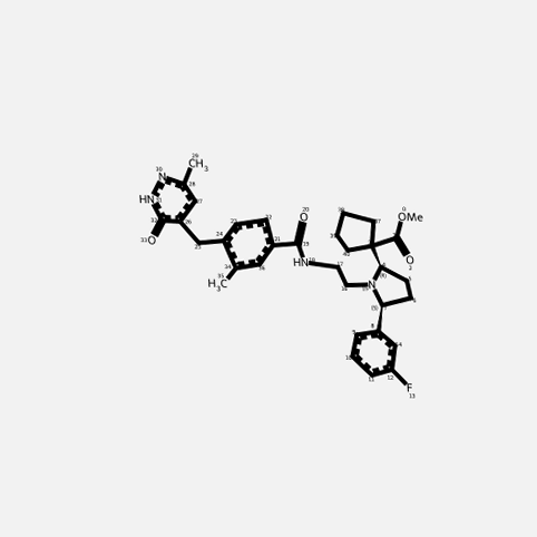 COC(=O)C1([C@H]2CC[C@@H](c3cccc(F)c3)N2CCNC(=O)c2ccc(Cc3cc(C)n[nH]c3=O)c(C)c2)CCCC1